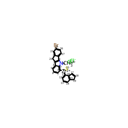 Cn1c2c(c3ccc[c]([Zr+2](=[S])[c]4cccc5c4C=CC5)c31)Cc1cc(Br)ccc1-2.[Cl-].[Cl-]